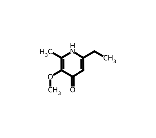 CCc1cc(=O)c(OC)c(C)[nH]1